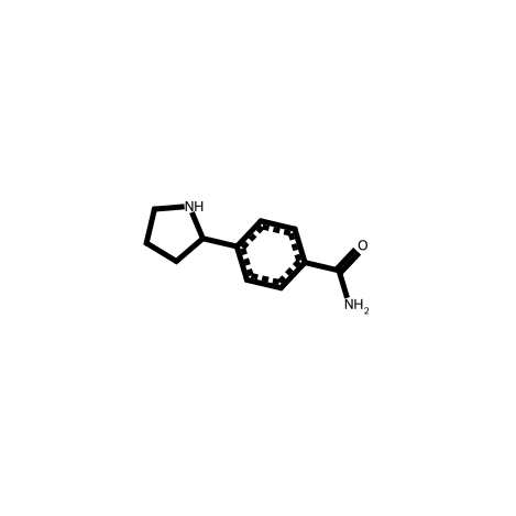 NC(=O)c1ccc(C2CCCN2)cc1